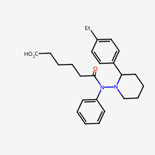 CCc1ccc(C2CCCCN2N(C(=O)CCCCC(=O)O)c2ccccc2)cc1